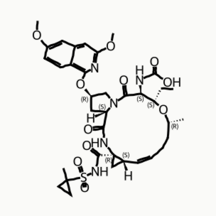 CC[C@@H]1O[C@H](C)CCC=C[C@@H]2C[C@@]2(C(=O)NS(=O)(=O)C2(C)CC2)NC(=O)[C@@H]2C[C@@H](Oc3nc(OC)cc4cc(OC)ccc34)CN2C(=O)[C@H]1NC(=O)O